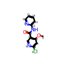 COc1cc(Cl)ncc1C(=O)Nc1ccccn1